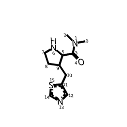 CN(C)C(=O)C1NCCC1Cc1cncs1